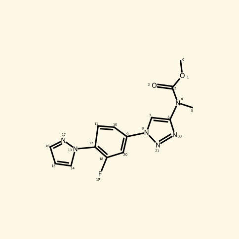 COC(=O)N(C)c1cn(-c2ccc(-n3cccn3)c(F)c2)nn1